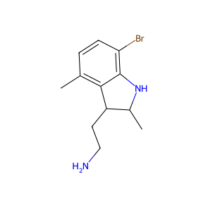 Cc1ccc(Br)c2c1C(CCN)C(C)N2